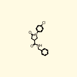 O=C(NCc1ccccc1)C1CC(=O)N(c2ccc(Cl)cc2)C1